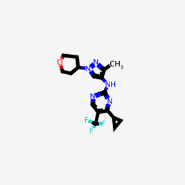 Cc1nn(C2CCOCC2)cc1Nc1ncc(C(F)(F)F)c(C2CC2)n1